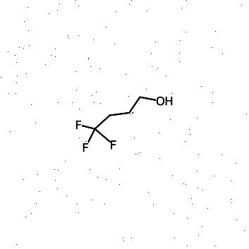 OC[CH]CC(F)(F)F